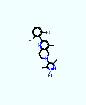 CCc1cccc(CC)c1-c1cc(C)c2c(n1)CCN(c1c(C)nn(CC)c1C)C2